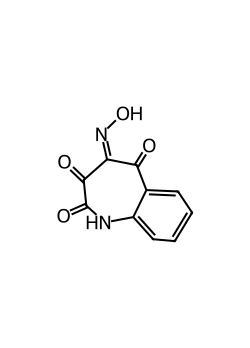 O=C1Nc2ccccc2C(=O)C(=NO)C1=O